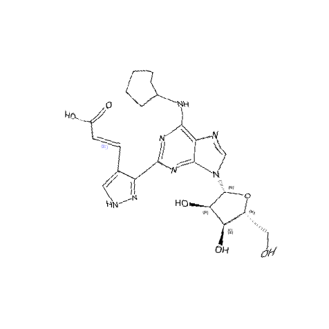 O=C(O)/C=C/c1c[nH]nc1-c1nc(NC2CCCC2)c2ncn([C@@H]3O[C@H](CO)[C@@H](O)[C@H]3O)c2n1